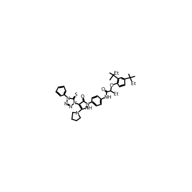 CCC(Oc1ccc(C(C)(C)CC)cc1C(C)(C)CC)C(=O)Nc1ccc(-n2[nH]c(N3CCCC3)c(-n3nnn(-c4ccccc4)c3=S)c2=O)cc1